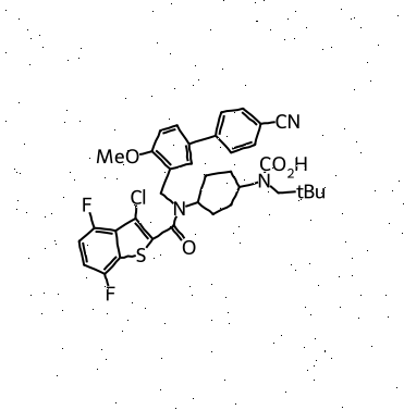 COc1ccc(-c2ccc(C#N)cc2)cc1CN(C(=O)c1sc2c(F)ccc(F)c2c1Cl)C1CCC(N(CC(C)(C)C)C(=O)O)CC1